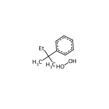 CCC(C)(C)c1ccccc1.OO